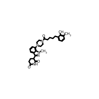 Cc1cccc(CCCCC(=O)N2CCN(c3cccc4c(C5CCC(=O)NC5=O)nn(C)c34)CC2)c1C